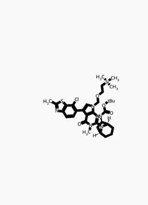 Cc1nc2ccc(-c3cn(COCC[Si](C)(C)C)c4nc(N5[C@H]6CCC[C@@H]5[C@H](NC(=O)OC(C)(C)C)C6)n(C)c(=O)c34)c(Cl)c2s1